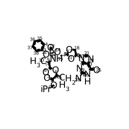 CC(C)OC(=O)[C@H](C)OC(=O)[C@H](C)N[P@](=O)(OC[C@@H]1OC[C@H](n2cnc3c(=O)[nH]c(N)nc32)O1)Oc1ccccc1